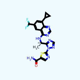 C[C@H](Nc1ncnc2c(C3CC3)cc(C(F)F)cc12)c1ncnn1-c1ncc(C(N)=O)s1